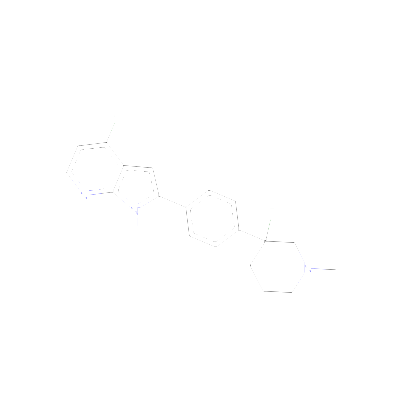 CN1CCCC(F)(c2ccc(-c3cc4c(Cl)ccnc4[nH]3)cc2)C1